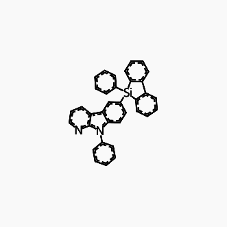 c1ccc(-n2c3ccc([Si]4(c5ccccc5)c5ccccc5-c5ccccc54)cc3c3cccnc32)cc1